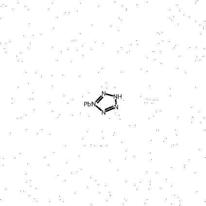 [Pb].n1nn[nH]n1